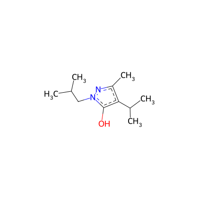 Cc1nn(CC(C)C)c(O)c1C(C)C